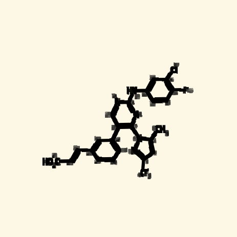 Cc1cc(C(F)(F)F)nn1-c1nc(Nc2ccc(F)c(Cl)c2)ncc1-c1cccc(/C=C/C(=O)O)c1